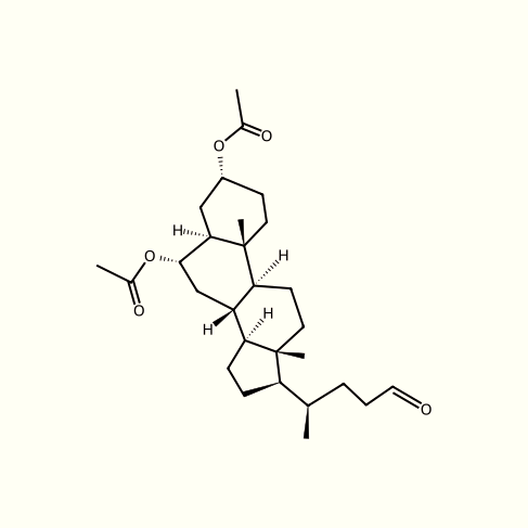 CC(=O)O[C@@H]1CC[C@@]2(C)[C@H](C1)[C@@H](OC(C)=O)C[C@@H]1[C@@H]2CC[C@]2(C)[C@@H]([C@H](C)CCC=O)CC[C@@H]12